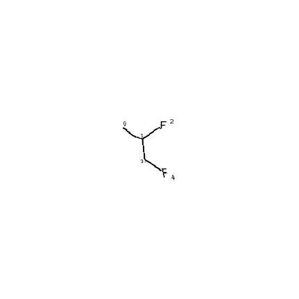 CC(F)[CH]F